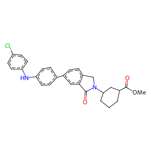 COC(=O)C1CCCC(N2Cc3ccc(-c4ccc(Nc5ccc(Cl)cc5)cc4)cc3C2=O)C1